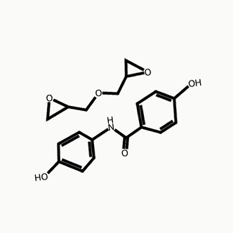 C(OCC1CO1)C1CO1.O=C(Nc1ccc(O)cc1)c1ccc(O)cc1